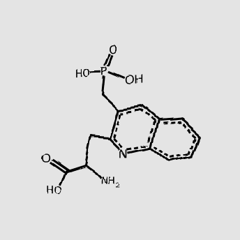 NC(Cc1nc2ccccc2cc1CP(=O)(O)O)C(=O)O